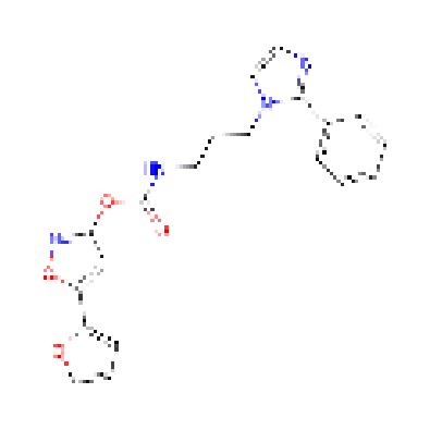 O=C(NCCCn1ccnc1-c1ccccc1)Oc1cc(-c2ccco2)on1